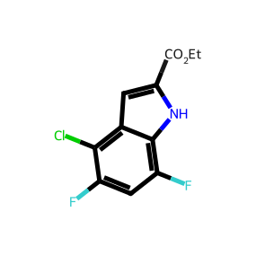 CCOC(=O)c1cc2c(Cl)c(F)cc(F)c2[nH]1